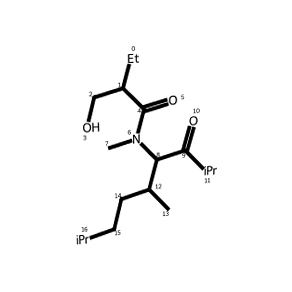 CCC(CO)C(=O)N(C)C(C(=O)C(C)C)C(C)CCC(C)C